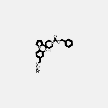 [N-]=[N+]=NCc1ccc2c(c1)NC1(CCN(C(=O)OCc3ccccc3)CC1)c1cccn1-2